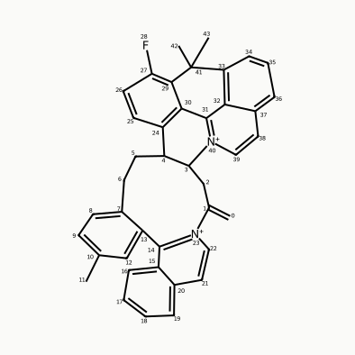 C=C1CC2C(CCc3ccc(C)cc3-c3c4ccccc4cc[n+]31)c1ccc(F)c3c1-c1c4c(cccc4cc[n+]12)C3(C)C